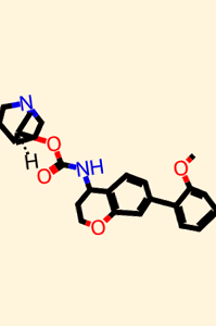 COc1ccccc1-c1ccc2c(c1)OCCC2NC(=O)O[C@@H]1CN2CCC1CC2